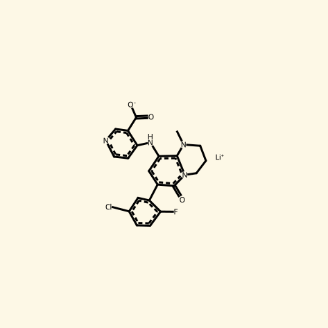 CN1CCCn2c1c(Nc1ccncc1C(=O)[O-])cc(-c1cc(Cl)ccc1F)c2=O.[Li+]